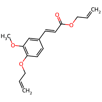 C=CCOC(=O)/C=C/c1ccc(OCC=C)c(OC)c1